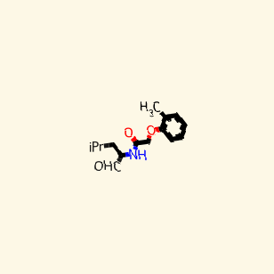 Cc1ccccc1OCC(=O)NC(C=O)CC(C)C